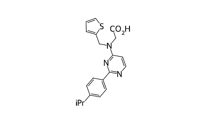 CC(C)c1ccc(-c2nccc(N(CC(=O)O)Cc3cccs3)n2)cc1